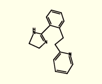 c1ccc(CCc2ccccc2C2=NCCN2)nc1